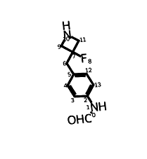 O=CNc1ccc(CC2(F)CNC2)cc1